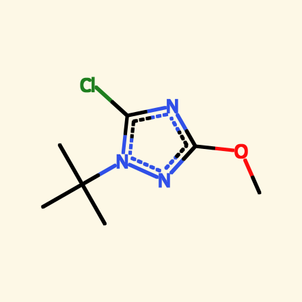 COc1nc(Cl)n(C(C)(C)C)n1